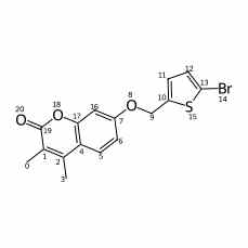 Cc1c(C)c2ccc(OCc3ccc(Br)s3)cc2oc1=O